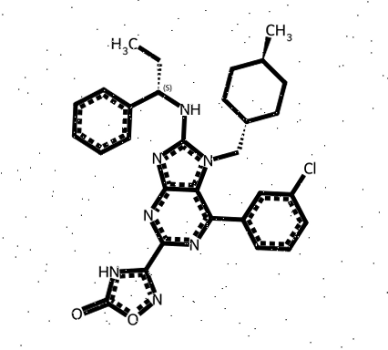 CC[C@H](Nc1nc2nc(-c3noc(=O)[nH]3)nc(-c3cccc(Cl)c3)c2n1C[C@H]1CC[C@H](C)CC1)c1ccccc1